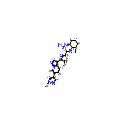 Cc1sc(C(=O)NC2CCCC[C@H]2N)nc1-c1cnn2cc(-c3cnn(C)c3)ccc12